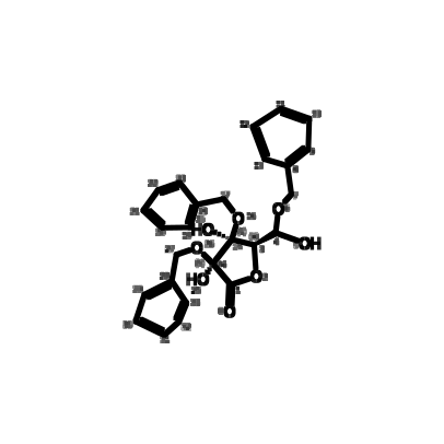 O=C1O[C@H](C(O)OCc2ccccc2)[C@](O)(OCc2ccccc2)[C@]1(O)OCc1ccccc1